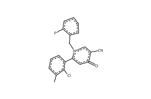 Cc1cccc(-c2cc(=O)c(C#N)cn2Cc2ccccc2F)c1Cl